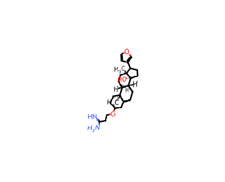 C[C@]12CCC(OCCC(=N)N)CC1CC[C@@H]1[C@H]2CC[C@]2(C)C(c3ccoc3)CC[C@@]12O